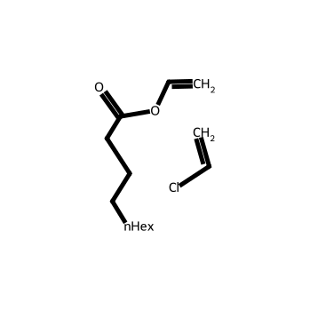 C=CCl.C=COC(=O)CCCCCCCCC